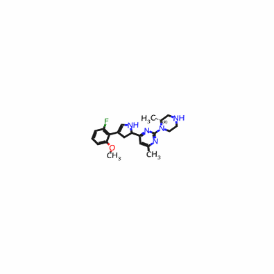 COc1cccc(F)c1C1=CNC(c2cc(C)nc(N3CCNC[C@H]3C)n2)C1